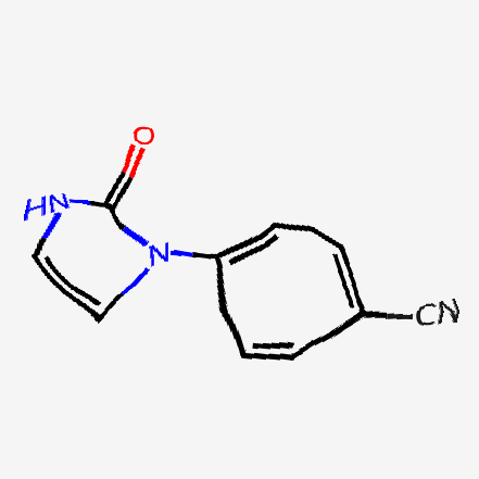 N#Cc1ccc(-n2cc[nH]c2=O)cc1